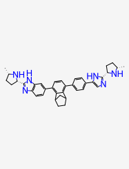 C[C@H]1CC[C@@H](c2ncc(-c3ccc(-c4ccc(-c5ccc6nc([C@@H]7CC[C@H](C)N7)[nH]c6c5)c5c4C4CCC5C4)cc3)[nH]2)N1